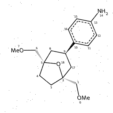 COC[C@@]12CC[C@@](COC)(C[C@@H](c3ccc(N)cc3)C1)O2